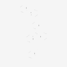 Cc1cc(-c2cccc(-c3ccccc3)c2)ccc1N(c1ccccc1)c1cccc(C(C)(C)c2ccccc2I)c1C